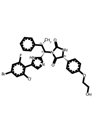 C[C@@H](c1ccccc1)[C@@H](c1ncc(-c2c(F)cc(Br)cc2Cl)[nH]1)N1C(=O)N[C@H](c2ccc(OCCO)cc2)C1=O